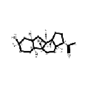 CC(=O)[C@H]1CC[C@H]2[C@@H]3C[C@@H]4C[C@](C)(O)CC[C@@H]4[C@H]3CC[C@]12C